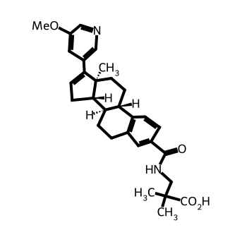 COc1cncc(C2=CC[C@H]3[C@@H]4CCc5cc(C(=O)NCC(C)(C)C(=O)O)ccc5[C@H]4CC[C@]23C)c1